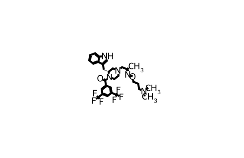 CC(CN1CCN(C(=O)c2cc(C(F)(F)F)cc(C(F)(F)F)c2)[C@H](Cc2c[nH]c3ccccc23)C1)=NOCCCN(C)C